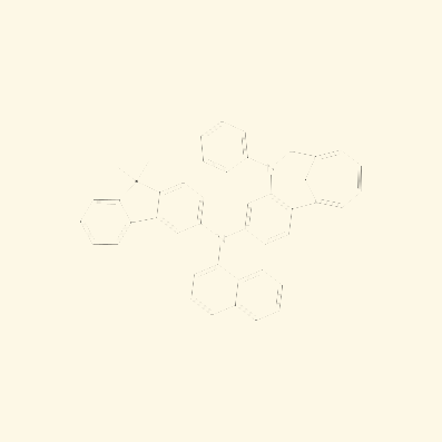 CC1(C)c2ccccc2-c2cc(N(c3ccc4c(c3)N(c3ccccc3)CC3=CC=CC=C4C3)c3cccc4ccccc34)ccc21